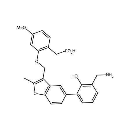 COc1ccc(CC(=O)O)c(OCc2c(C)oc3ccc(-c4cccc(CN)c4O)cc23)c1